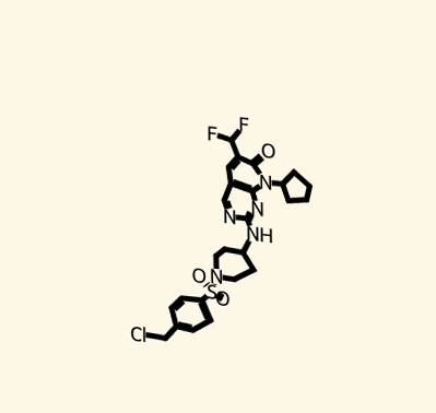 O=c1c(C(F)F)cc2cnc(NC3CCN(S(=O)(=O)c4ccc(CCl)cc4)CC3)nc2n1C1CCCC1